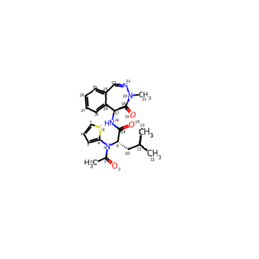 CC(=O)N(c1cccs1)[C@@H](CC(C)C)C(=O)NC1C(=O)N(C)N=Cc2ccccc21